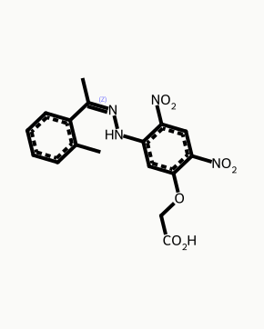 C/C(=N/Nc1cc(OCC(=O)O)c([N+](=O)[O-])cc1[N+](=O)[O-])c1ccccc1C